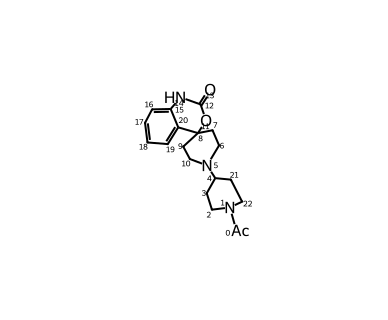 CC(=O)N1CCC(N2CCC3(CC2)OC(=O)Nc2ccccc23)CC1